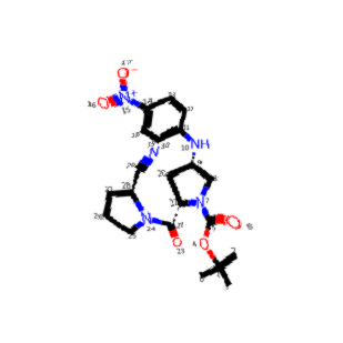 CC(C)(C)OC(=O)N1C[C@@H](Nc2ccc([N+](=O)[O-])cc2)C[C@H]1C(=O)N1CCC[C@H]1C#N